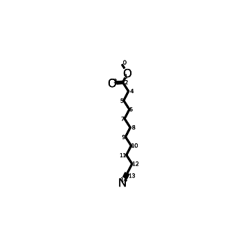 COC(=O)CCCCCCCCCC#N